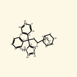 c1ccc(C(CCN2CC3CCC2CC3)(c2ccncc2)c2nnn[nH]2)cc1